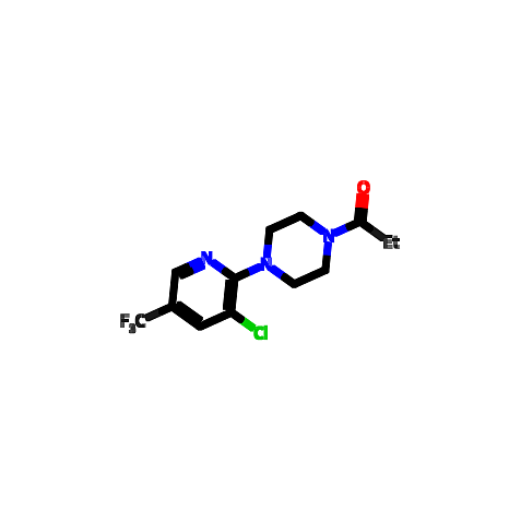 CCC(=O)N1CCN(c2ncc(C(F)(F)F)cc2Cl)CC1